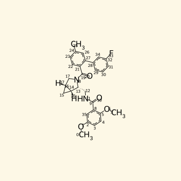 COc1ccc(OC)c(C(=O)NC[C@@H]2[C@@H]3C[C@@H]3CN2C(=O)c2ccc(C)cc2-c2cccc(F)c2)c1